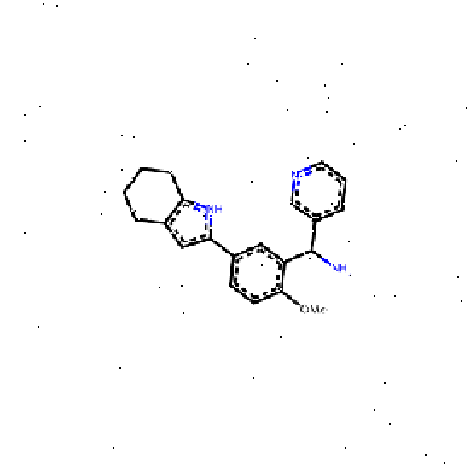 COc1ccc(-c2cc3c([nH]2)CCCC3)cc1C(N)c1cccnc1